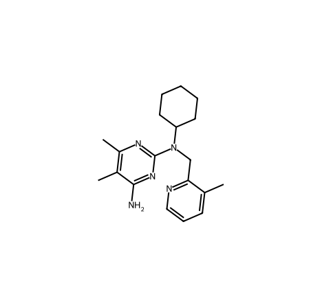 Cc1cccnc1CN(c1nc(C)c(C)c(N)n1)C1CCCCC1